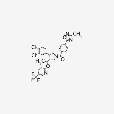 Cc1noc(-c2ccc(C(=O)N3C[C@H]([C@H](C)Oc4ccc(C(F)(F)F)cn4)[C@@H](c4ccc(Cl)c(Cl)c4)C3)cc2)n1